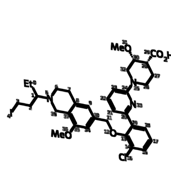 CCC(CCI)N1CCc2cc(COc3c(Cl)cccc3-c3cccc(N4CC[C@@H](C(=O)O)[C@@H](OC)C4)n3)cc(OC)c2C1